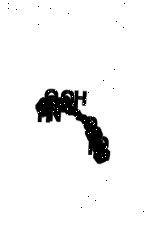 O=C1c2cc(O)c(OCCCCCOc3ccc(-c4nc5ccccc5o4)cc3)cc2N=C[C@@H]2CCCN12